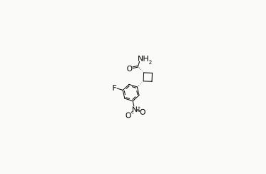 NC(=O)[C@@H]1CC[C@@H]1c1cc(F)cc([N+](=O)[O-])c1